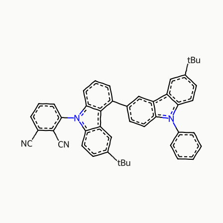 CC(C)(C)c1ccc2c(c1)c1cc(-c3cccc4c3c3cc(C(C)(C)C)ccc3n4-c3cccc(C#N)c3C#N)ccc1n2-c1ccccc1